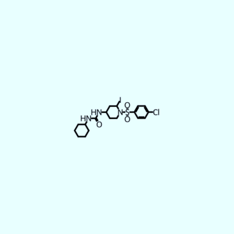 O=C(NC1CCCCC1)NC1CCN(S(=O)(=O)c2ccc(Cl)cc2)C(I)C1